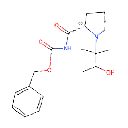 CC(O)C(C)(C)N1CCC[C@H]1C(=O)NC(=O)OCc1ccccc1